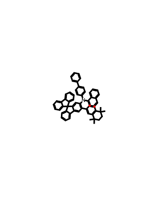 CC1(C)CCC(C)(C)c2cc(-c3cc4c(cc3N(c3ccc(-c5ccccc5)cc3)c3cccc5ccccc35)C3(c5ccccc5-c5ccccc53)c3ccccc3-4)ccc21